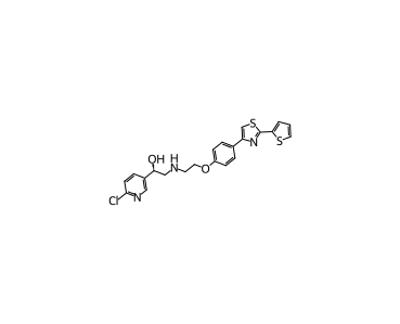 O[C@@H](CNCCOc1ccc(-c2csc(-c3cccs3)n2)cc1)c1ccc(Cl)nc1